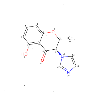 C[C@H]1Oc2cccc(O)c2C(=O)[C@@H]1n1ccnc1